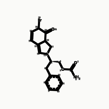 NC(=O)OC[C@H](Cc1ccccc1)N1C=C2C=CC(Br)C(=O)C2C1